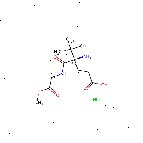 COC(=O)CNC(=O)[C@@](N)(CCC(=O)O)C(C)(C)C.Cl